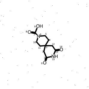 O=C1CC2(CCN(C(=O)O)CC2)CC(=O)N1